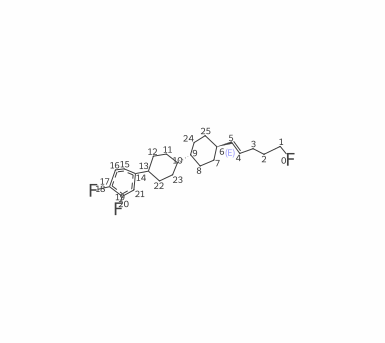 FCCC/C=C/[C@H]1CC[C@H](C2CCC(c3ccc(F)c(F)c3)CC2)CC1